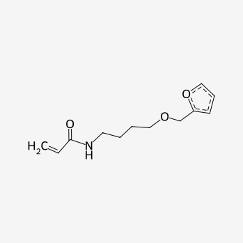 C=CC(=O)NCCCCOCc1ccco1